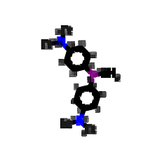 BP(c1ccc(N(CC)CC)cc1)c1ccc(N(CC)CC)cc1